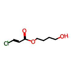 O=C(C=CCl)OCCCCO